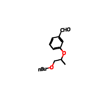 CCCCOCC(C)Oc1cccc(C=O)c1